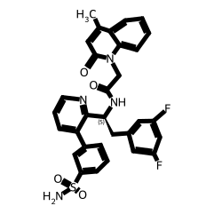 Cc1cc(=O)n(CC(=O)N[C@@H](Cc2cc(F)cc(F)c2)c2ncccc2-c2cccc(S(N)(=O)=O)c2)c2ccccc12